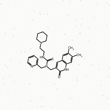 Cc1cc2cc(CN(Cc3ccccn3)C(=S)NCCN3CCCCC3)c(=O)[nH]c2cc1C